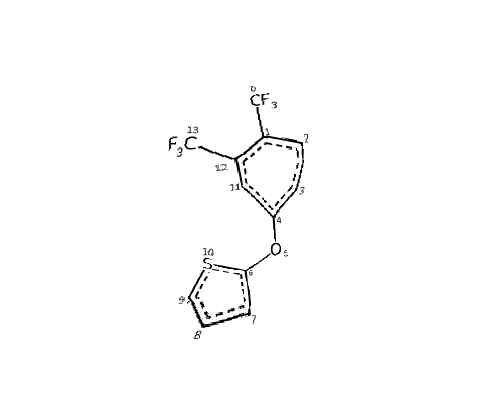 FC(F)(F)c1ccc(Oc2cc[c]s2)cc1C(F)(F)F